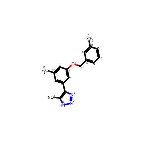 N#Cc1[nH]nnc1-c1cc(OCc2cccc(C(F)(F)F)c2)cc(C(F)(F)F)c1